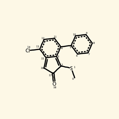 CSC1=c2c(-c3ccccc3)ccc(Cl)c2=CC1=O